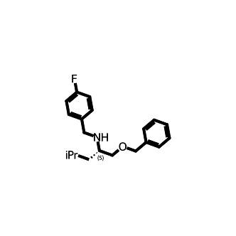 CC(C)C[C@@H](COCc1ccccc1)NCc1ccc(F)cc1